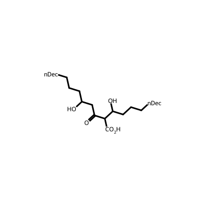 CCCCCCCCCCCCCC(O)CC(=O)C(C(=O)O)C(O)CCCCCCCCCCCCC